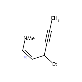 CC#CC(/C=C\NC)CC